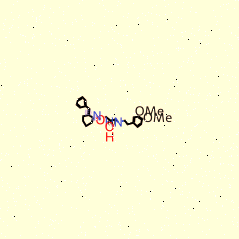 COc1ccc(CCNC[C@H](O)CO/N=C2\CCCC\C2=C/c2ccccc2)cc1OC